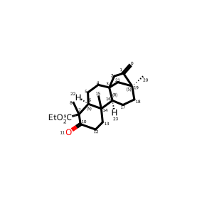 C=C1CC23CC[C@@H]4C(C)(C(=O)OCC)C(=O)CCC4(C)[C@@H]2CC[C@@]1(C)C3